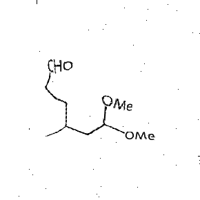 COC(CC(C)CCC=O)OC